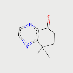 CC1(C)CCC(=O)c2nccnc21